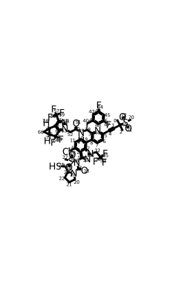 CC(C)(C#Cc1ccc(-c2ccc(Cl)c3c(N(C(=O)N4CCC[C@H]4CS)S(C)(=O)=O)nn(CC(F)(F)F)c23)c([C@H](Cc2cc(F)cc(F)c2)NC(=O)Cn2nc(C(F)(F)F)c3c2C(F)(F)[C@@H]2C[C@H]32)n1)S(C)(=O)=O